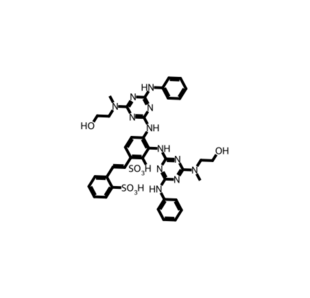 CN(CCO)c1nc(Nc2ccccc2)nc(Nc2ccc(C=Cc3ccccc3S(=O)(=O)O)c(S(=O)(=O)O)c2Nc2nc(Nc3ccccc3)nc(N(C)CCO)n2)n1